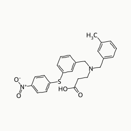 Cc1cccc(CN(CCC(=O)O)Cc2cccc(Sc3ccc([N+](=O)[O-])cc3)c2)c1